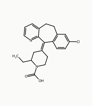 CCC1CC(=C2c3ccc(Cl)cc3CCc3cccnc32)CCN1C(=O)O